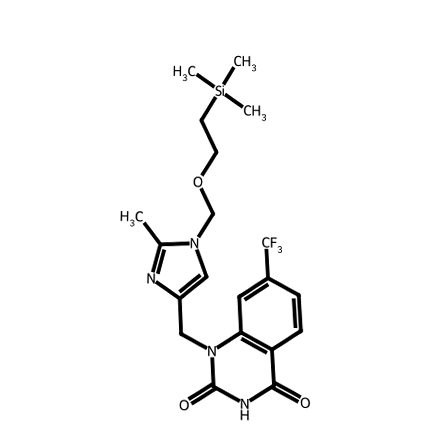 Cc1nc(Cn2c(=O)[nH]c(=O)c3ccc(C(F)(F)F)cc32)cn1COCC[Si](C)(C)C